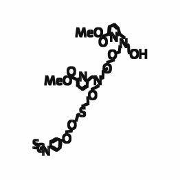 COC(=O)c1cccc(CN(CCO)CCOCCOCCN(CCOCCCSCCOCCOc2ccc(N=C=S)cc2)Cc2cccc(C(=O)OC)n2)n1